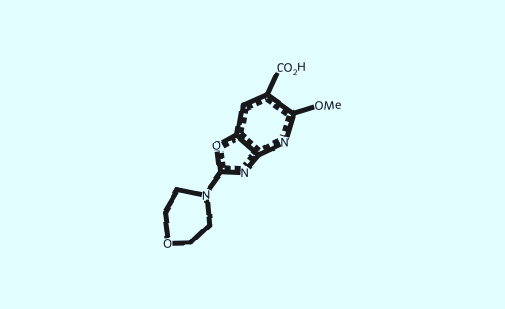 COc1nc2nc(N3CCOCC3)oc2cc1C(=O)O